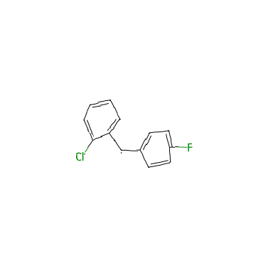 Fc1ccc([CH]c2ccccc2Cl)cc1